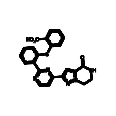 O=C(O)c1ccccc1Sc1ccccc1-c1nccc(-c2cc3n(n2)CCNC3=O)n1